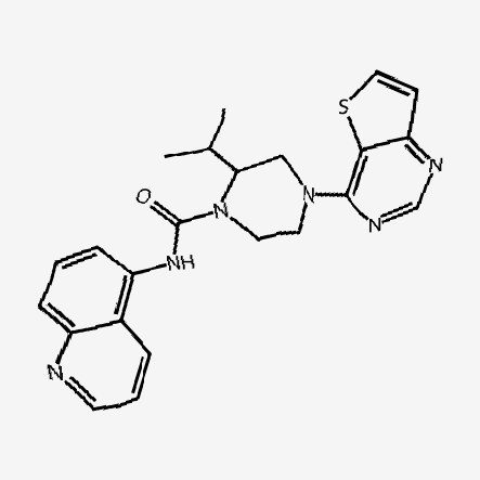 CC(C)C1CN(c2ncnc3ccsc23)CCN1C(=O)Nc1cccc2ncccc12